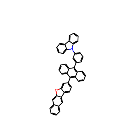 c1cc(-c2c3ccccc3c(-c3ccc4c(c3)oc3cc5ccccc5cc34)c3ccccc23)cc(-n2c3ccccc3c3ccccc32)c1